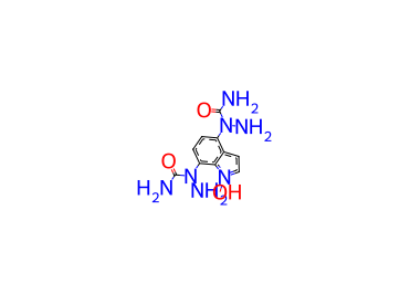 NC(=O)N(N)c1ccc(N(N)C(N)=O)c2c1ccn2O